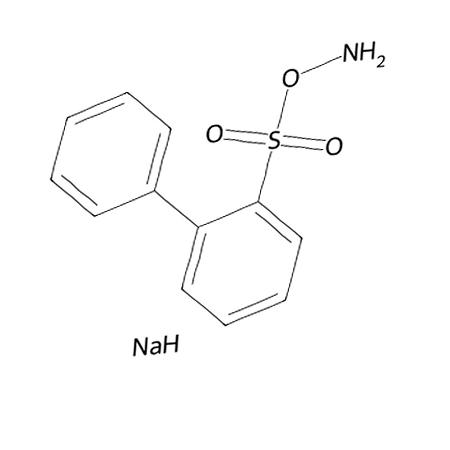 NOS(=O)(=O)c1ccccc1-c1ccccc1.[NaH]